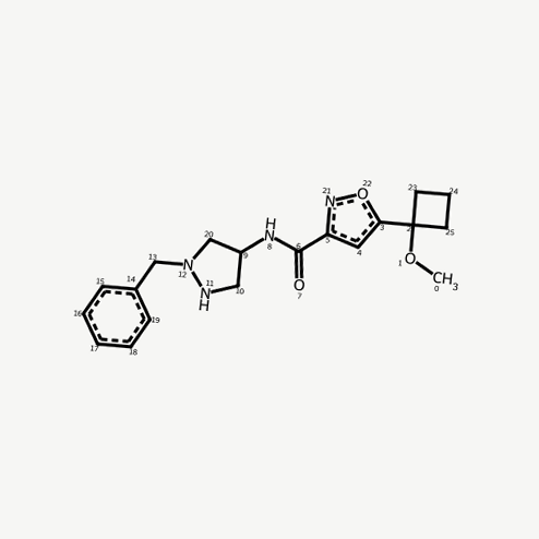 COC1(c2cc(C(=O)NC3CNN(Cc4ccccc4)C3)no2)CCC1